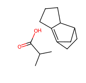 C1CC2=C3CCC(C3)C2C1.CC(C)C(=O)O